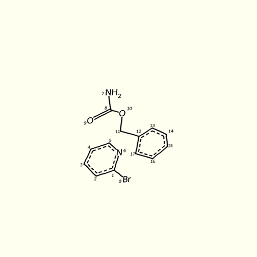 Brc1ccccn1.NC(=O)OCc1ccccc1